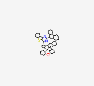 c1ccc2c(c1)Oc1ccccc1C21c2cc3ccccc3cc2-c2c(-c3nc(-c4cc5ccccc5c5ccccc45)nc4c3sc3ccccc34)cccc21